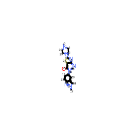 CN1CCN(c2nc3ncn(-c4ccc5nn(C)cc5c4)c(=O)c3s2)CC1